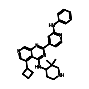 CC1(C)CNCCC1Nc1nc(-c2ccnc(Nc3ccccc3)c2)nc2cncc(C3CCC3)c12